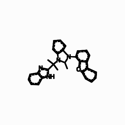 CC1N(c2cccc3c2oc2ccccc23)c2ccccc2N1C(C)(C)c1nc2ccccc2[nH]1